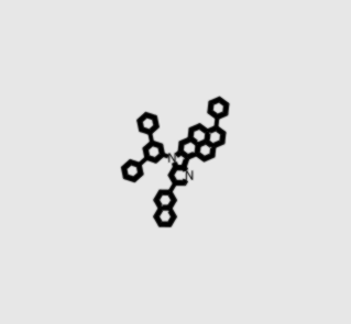 c1ccc(-c2cc(-c3ccccc3)cc(-n3c4cc(-c5ccc6ccccc6c5)cnc4c4c5ccc6ccc(-c7ccccc7)c7ccc(cc43)c5c67)c2)cc1